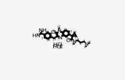 CN(C)CCCN(C)C(=O)C1(c2ccc3c(c2)nc(Cc2ccc(C(=N)N)cc2)c(=O)n3C)CC1.Cl.Cl